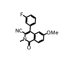 COc1ccc2c(=O)n(C)c(C#N)c(-c3cccc(F)c3)c2c1